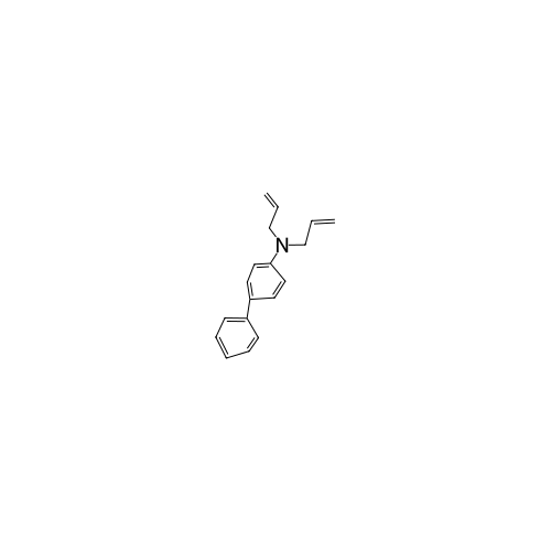 C=CCN(CC=C)c1ccc(-c2ccccc2)cc1